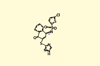 O=C1C(Sc2nc[nH]n2)=C/C(=N/S(=O)(=O)c2ccc(Cl)s2)c2ccccc21